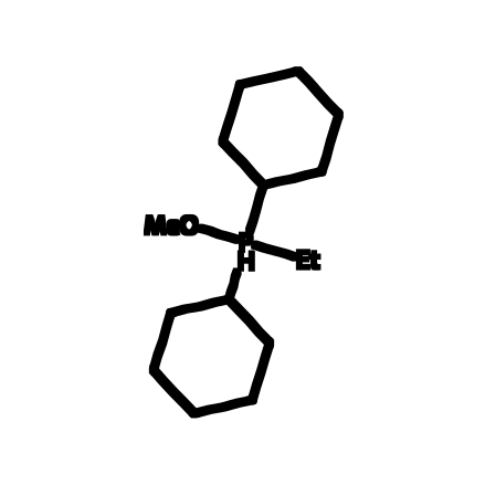 CC[PH](OC)(C1CCCCC1)C1CCCCC1